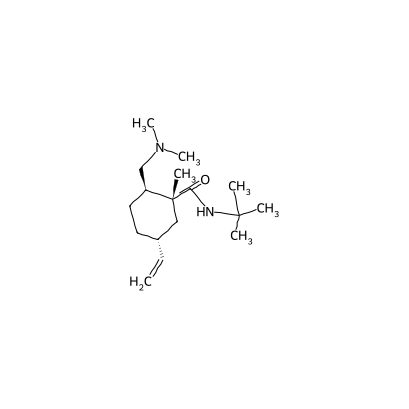 C=C[C@@H]1CC[C@@H](CN(C)C)[C@](C)(C(=O)NC(C)(C)C)C1